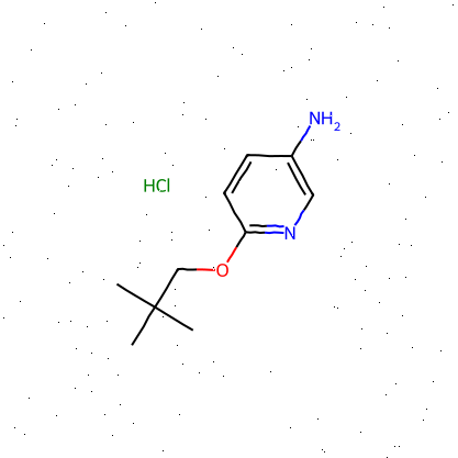 CC(C)(C)COc1ccc(N)cn1.Cl